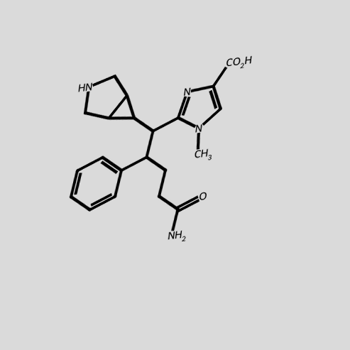 Cn1cc(C(=O)O)nc1C(C(CCC(N)=O)c1ccccc1)C1C2CNCC21